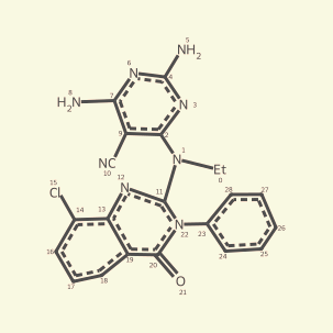 CCN(c1nc(N)nc(N)c1C#N)c1nc2c(Cl)cccc2c(=O)n1-c1ccccc1